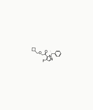 C[C@H](c1ccccc1)n1ncc(F)c1C(=O)COCC1CCC1